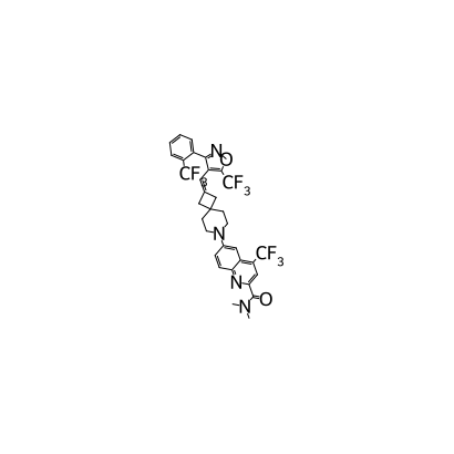 CN(C)C(=O)c1cc(C(F)(F)F)c2cc(N3CCC4(CC3)CC(=Cc3c(-c5ccccc5C(F)(F)F)noc3C(F)(F)F)C4)ccc2n1